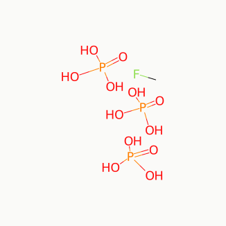 CF.O=P(O)(O)O.O=P(O)(O)O.O=P(O)(O)O